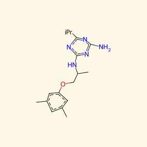 Cc1cc(C)cc(OCC(C)Nc2nc(N)nc(C(C)C)n2)c1